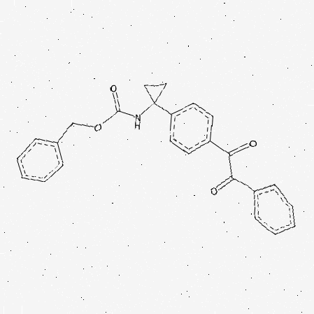 O=C(NC1(c2ccc(C(=O)C(=O)c3ccccc3)cc2)CC1)OCc1ccccc1